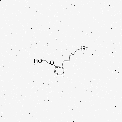 CC(C)CCCCCc1ccccc1OCCO